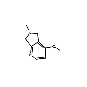 COc1ccnc2c1CN(C)C2